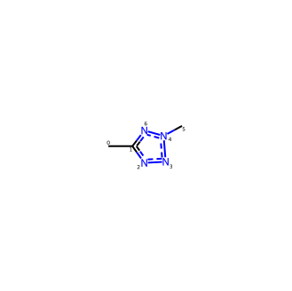 Cc1nnn(C)n1